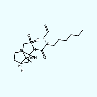 C=CC[C@H](CCCCCC)C(=O)N1[C@@H]2C[C@H]3CC[C@]2(CS1(=O)=O)C3(C)C